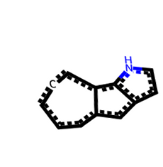 c1ccc2cc3cc[nH]c3c-2cc1